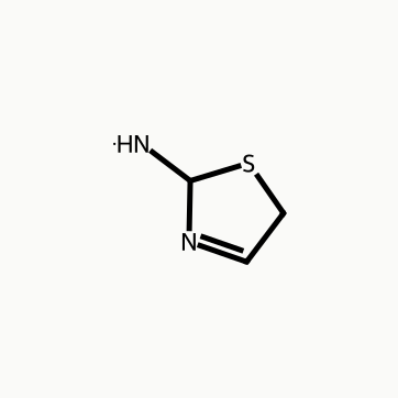 [NH]C1N=CCS1